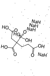 O=C(O)CCC(CC(=O)O)(C(=O)O)P(=O)(O)O.[NaH].[NaH].[NaH].[NaH]